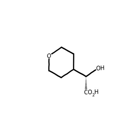 O=C(O)[C@@H](O)C1CCOCC1